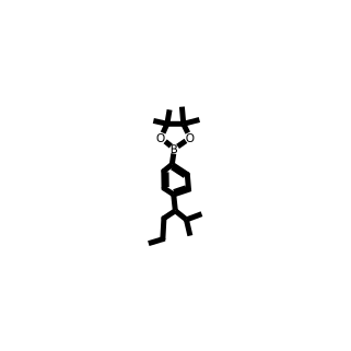 CCCC(c1ccc(B2OC(C)(C)C(C)(C)O2)cc1)C(C)C